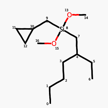 CCCCC(CC)C[Si]([CH]C1CC1)(OC)OC